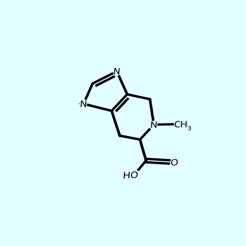 CN1CC2=C(CC1C(=O)O)[N]C=N2